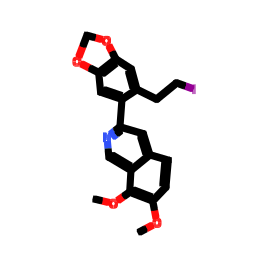 COc1ccc2cc(-c3cc4c(cc3CCI)OCO4)ncc2c1OC